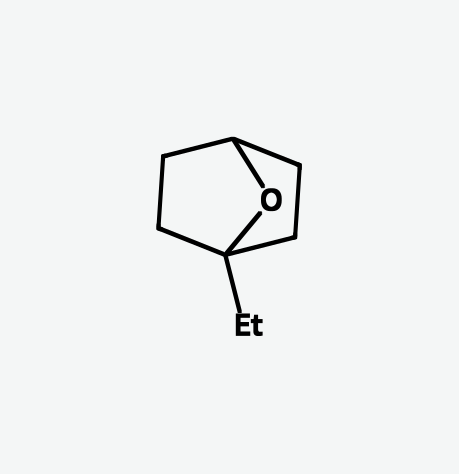 [CH2]CC12CCC(CC1)O2